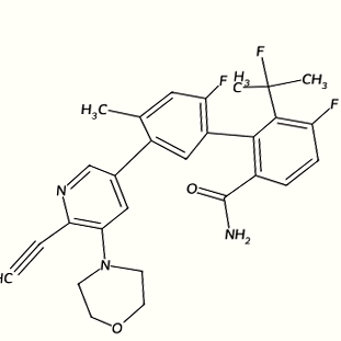 C#Cc1ncc(-c2cc(-c3c(C(N)=O)ccc(F)c3C(C)(C)F)c(F)cc2C)cc1N1CCOCC1